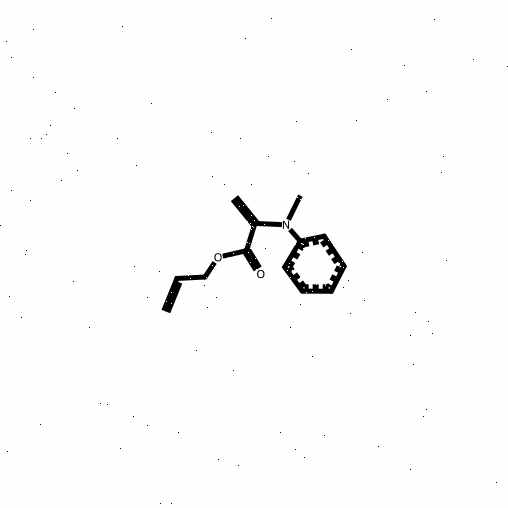 C=CCOC(=O)C(=C)N(C)c1ccccc1